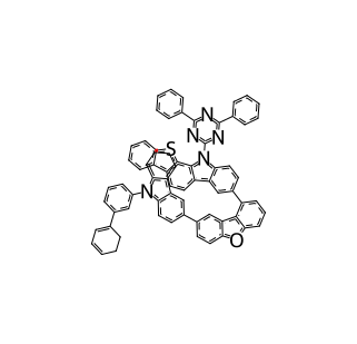 C1=CCCC(c2cccc(-n3c4c(c5cc(-c6ccc7oc8cccc(-c9ccc%10c(c9)c9ccc%11c%12ccccc%12sc%11c9n%10-c9nc(-c%10ccccc%10)nc(-c%10ccccc%10)n9)c8c7c6)ccc53)=CCCC=4)c2)=C1